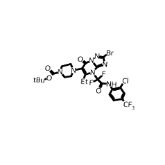 CCc1c(N2CCN(C(=O)OC(C)(C)C)CC2)c(=O)n2nc(Br)nc2n1C(F)(F)C(=O)Nc1ccc(C(F)(F)F)cc1Cl